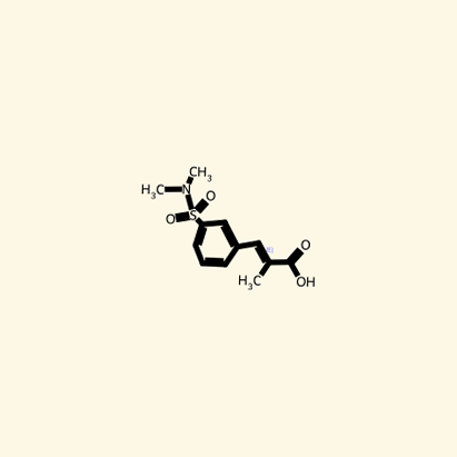 C/C(=C\c1cccc(S(=O)(=O)N(C)C)c1)C(=O)O